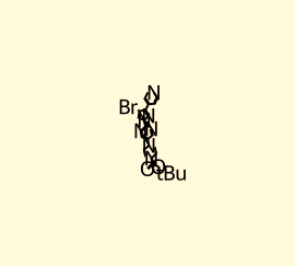 CC(C)(C)OC(=O)N1CCN(c2cnc(-n3cc(Br)c(-c4ccncc4)n3)nc2)CC1